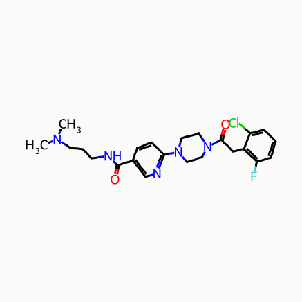 CN(C)CCCNC(=O)c1ccc(N2CCN(C(=O)Cc3c(F)cccc3Cl)CC2)nc1